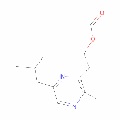 Cc1ncc(CC(C)C)nc1CCOC=O